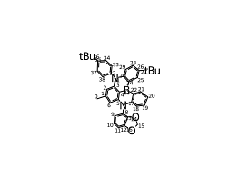 Cc1cc2c3c(c1)N(c1cccc4c1OCO4)c1ccccc1B3c1cc(C(C)(C)C)ccc1N2c1ccc(C(C)(C)C)cc1